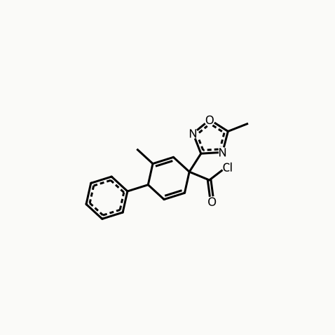 CC1=CC(C(=O)Cl)(c2noc(C)n2)C=CC1c1ccccc1